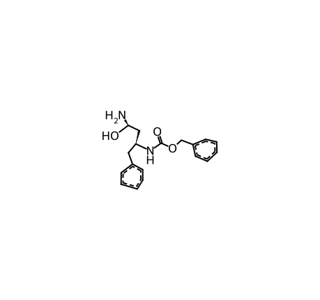 N[C@H](O)C[C@H](Cc1ccccc1)NC(=O)OCc1ccccc1